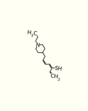 C=C/C(S)=C\C=C/CC1CCN(CCC)CC1